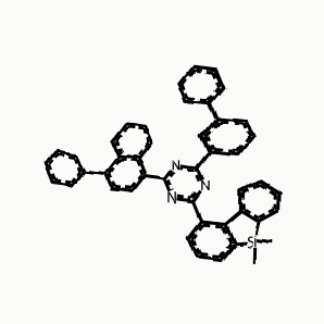 C[Si]1(C)c2ccccc2-c2c(-c3nc(-c4cccc(-c5ccccc5)c4)nc(-c4ccc(-c5ccccc5)c5ccccc45)n3)cccc21